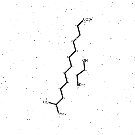 CCCCCCC(O)CCCCCCCCCCC(=O)O.CCCCCCCCCCCCO